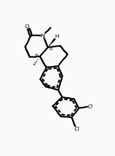 CN1C(=O)CC[C@]2(C)c3ccc(-c4ccc(Cl)c(Cl)c4)cc3CC[C@@H]12